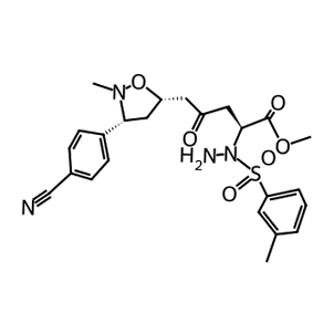 COC(=O)[C@H](CC(=O)C[C@@H]1C[C@H](c2ccc(C#N)cc2)N(C)O1)N(N)S(=O)(=O)c1cccc(C)c1